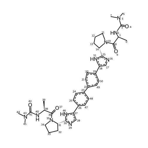 CC(NC(=O)N(C)C)C(=O)N1CCC[C@H]1c1ncc(-c2ccc(-c3ccc(-c4cnc([C@@H]5CCCN5C(=O)[C@H](C)NC(=O)N(C)C)[nH]4)cc3)cc2)[nH]1